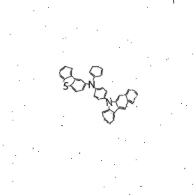 C1=CC(N(c2ccc(-n3c4ccccc4c4cc5ccccc5cc43)cc2)c2ccc3sc4ccccc4c3c2)=CCC1